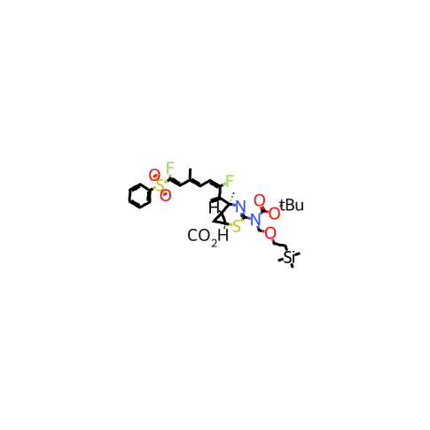 C=C(\C(F)=C/C=C(C)/C=C(\F)S(=O)(=O)c1ccccc1)[C@@]1(C)N=C(N(COCC[Si](C)(C)C)C(=O)OC(C)(C)C)S[C@@]2(C(=O)O)C[C@@H]12